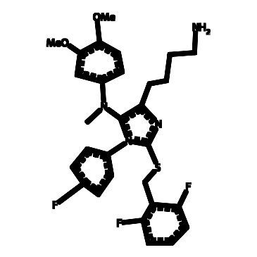 COc1ccc(N(C)c2c(CCCCN)nc(SCc3c(F)cccc3F)n2-c2ccc(F)cc2)cc1OC